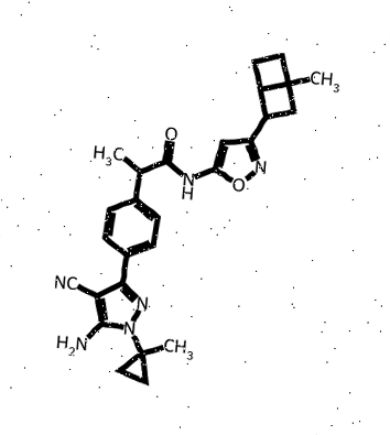 CC(C(=O)Nc1cc(C2CC3(C)CCC23)no1)c1ccc(-c2nn(C3(C)CC3)c(N)c2C#N)cc1